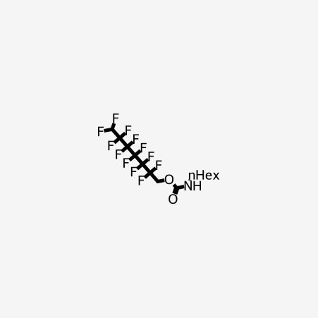 CCCCCCNC(=O)OCC(F)(F)C(F)(F)C(F)(F)C(F)(F)C(F)(F)C(F)F